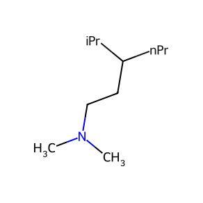 CCCC(CCN(C)C)C(C)C